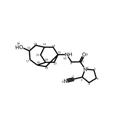 N#CC1CCCN1C(=O)CNC12CC3CC(O)CC(C1)C(C3)C2